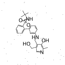 Cc1ncc(CO)c(CNc2cccc(-c3ccccc3S(=O)(=O)NC(C)(C)C)c2)c1O